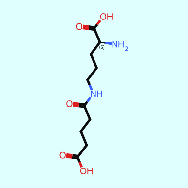 N[C@@H](CCCNC(=O)CCCC(=O)O)C(=O)O